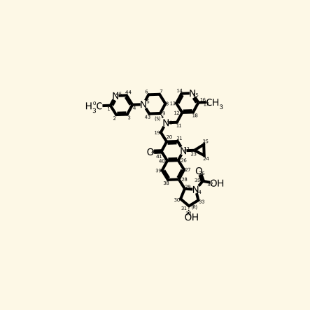 Cc1ccc(N2CCC[C@H](N(Cc3ccnc(C)c3)Cc3cn(C4CC4)c4cc(C5C[C@@H](O)CN5C(=O)O)ccc4c3=O)C2)cn1